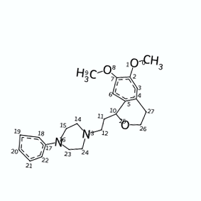 COc1cc2c(cc1OC)C(CCN1CCN(c3ccccc3)CC1)OCC2